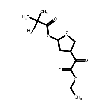 CCOC(=O)C(=O)C1CNC(OC(=O)C(C)(C)C)C1